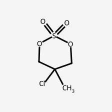 CC1(Cl)COS(=O)(=O)OC1